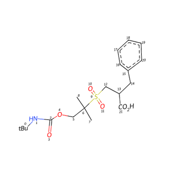 CC(C)(C)NC(=O)OCC(C)(C)S(=O)(=O)CC(Cc1ccccc1)C(=O)O